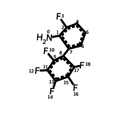 Nc1c(F)cccc1-c1c(F)c(F)c(F)c(F)c1F